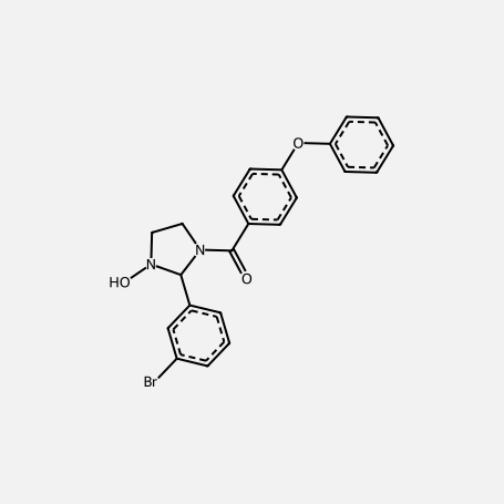 O=C(c1ccc(Oc2ccccc2)cc1)N1CCN(O)C1c1cccc(Br)c1